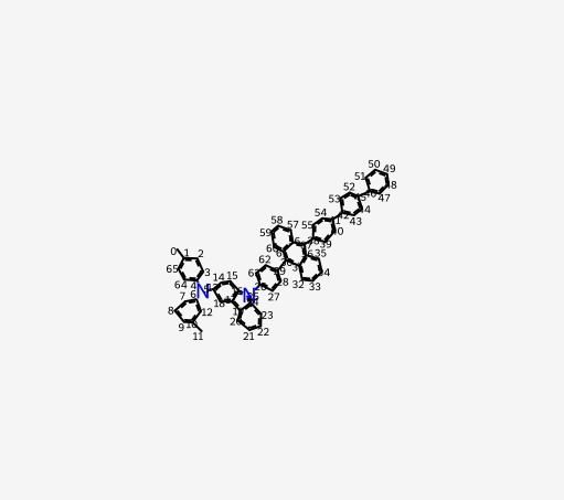 Cc1ccc(N(c2cccc(C)c2)c2ccc3c(c2)c2ccccc2n3-c2ccc(-c3c4ccccc4c(-c4ccc(-c5ccc(-c6ccccc6)cc5)cc4)c4ccccc34)cc2)cc1